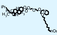 CCCCCCCC/C=C\CCCCCCCCOCC(CN1CCCCC1)OCCOCCOC(=O)O[C@H]1CC[C@@]2(C)C(=CC[C@H]3[C@@H]4CC[C@H]([C@H](C)CCCC(C)C)[C@@]4(C)CC[C@@H]32)C1